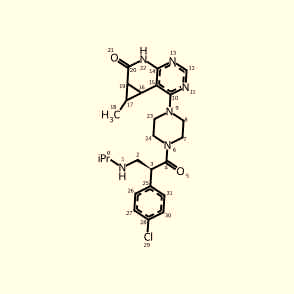 CC(C)NC[C@@H](C(=O)N1CCN(c2ncnc3c2C2C(C)C2C(=O)N3)CC1)c1ccc(Cl)cc1